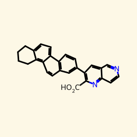 O=C(O)c1nc2ccncc2cc1-c1ccc2c(ccc3c4c(ccc32)CCCC4)c1